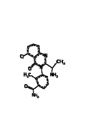 Cc1c(C(N)=O)cccc1-n1c(C(C)N)nc2cccc(Cl)c2c1=O